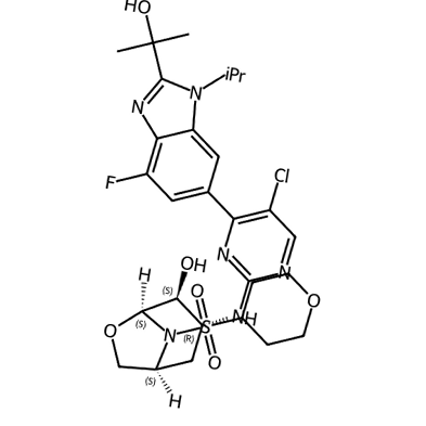 CC(C)n1c(C(C)(C)O)nc2c(F)cc(-c3nc(N[C@@H]4C[C@H]5CO[C@@H]([C@H]4O)N5S(=O)(=O)C4CCOCC4)ncc3Cl)cc21